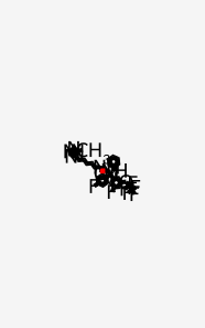 Cn1nnnc1CCCCCNC(=O)N[C@](Cc1ccccc1)(c1ccc(F)cc1)c1cc(F)cc(OC(F)(F)C(F)(F)F)c1